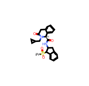 CC(C)S(=O)(=O)C1c2ccccc2CC1NC(=O)[C@@H]1c2ccccc2CC(=O)N1CC1CC1